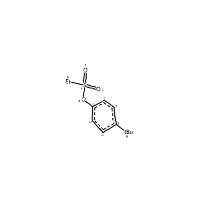 CCS(=O)(=O)Oc1ccc(C(C)(C)C)cc1